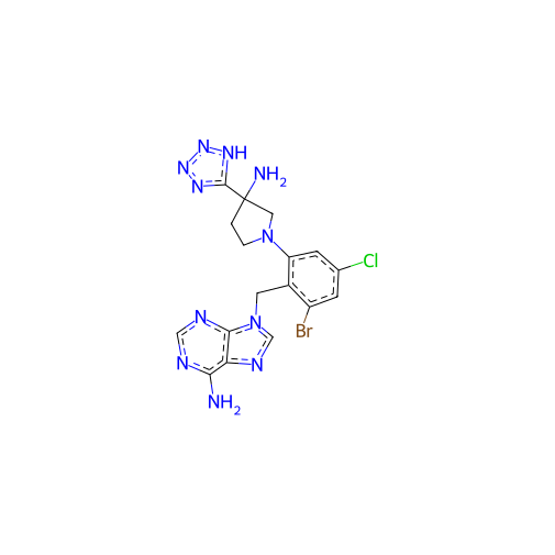 Nc1ncnc2c1ncn2Cc1c(Br)cc(Cl)cc1N1CCC(N)(c2nnn[nH]2)C1